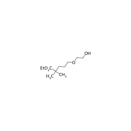 CCOC(=O)C(C)(C)CCCOCCO